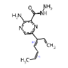 C=C/C(=C\C=C/C)c1cnc(N)c(C(=O)NN)n1